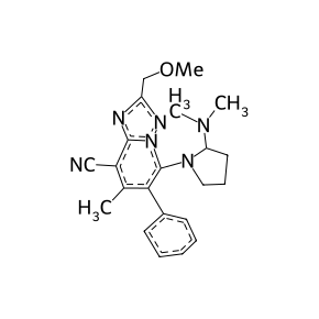 COCc1nc2c(C#N)c(C)c(-c3ccccc3)c(N3CCCC3N(C)C)n2n1